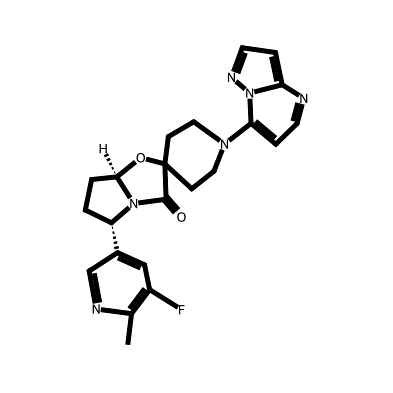 Cc1ncc([C@@H]2CC[C@H]3OC4(CCN(c5ccnc6ccnn56)CC4)C(=O)N32)cc1F